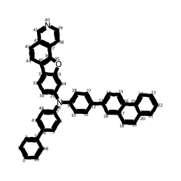 c1ccc(-c2ccc(N(c3ccc(-c4ccc5c(ccc6ccccc65)c4)cc3)c3ccc4c(c3)oc3c5ccncc5ccc43)cc2)cc1